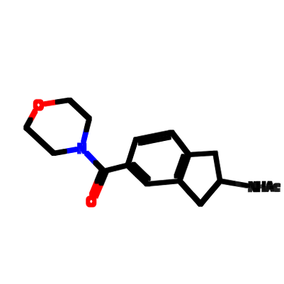 CC(=O)NC1Cc2ccc(C(=O)N3CCOCC3)cc2C1